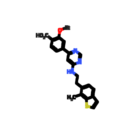 CCOc1cc(-c2cc(NCCc3ccc4ccsc4c3C)ncn2)ccc1C(=O)O